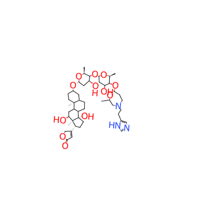 CC1CN(CCc2cnc[nH]2)CCC(O[C@@H]2[C@H](C)O[C@@H](O[C@@H]3[C@H](C)O[C@@H](O[C@H]4CC[C@@]5(C)C(CCC6C5C[C@H](O)[C@]5(C)[C@@H](C7=CC(=O)OC7)CC[C@]65O)C4)C[C@@H]3O)C[C@@H]2O)O1